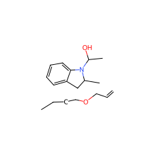 C=CCOCCCC.CC(O)N1c2ccccc2CC1C